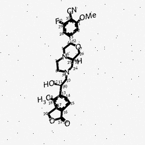 COc1cc([C@H]2CN3CCN(C[C@H](O)c4ccc5c(c4C)COC5=O)C[C@@H]3CO2)cc(F)c1C#N